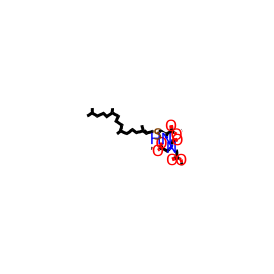 COC(=O)CN(CC(=O)OC)C(=O)N[C@@H](CSC/C=C(\C)CCCC(C)CCCC(C)CCCC(C)C)C(=O)OC